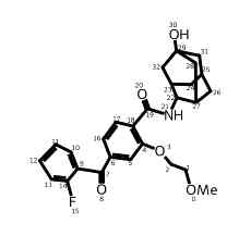 COCCOc1cc(C(=O)c2ccccc2F)ccc1C(=O)NC1C2CC3CC1CC(O)(C3)C2